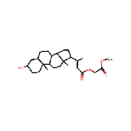 CC(CC(=O)OCC(=O)OC(C)(C)C)C1CCC2C3CCC4CC(O)CCC4(C)C3CCC12C